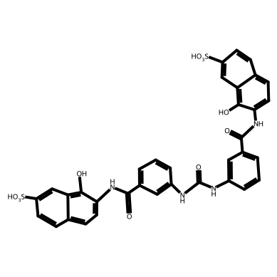 O=C(Nc1cccc(C(=O)Nc2ccc3ccc(S(=O)(=O)O)cc3c2O)c1)Nc1cccc(C(=O)Nc2ccc3ccc(S(=O)(=O)O)cc3c2O)c1